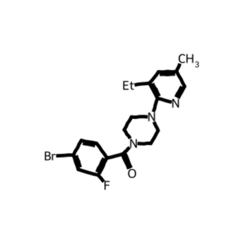 CCc1cc(C)cnc1N1CCN(C(=O)c2ccc(Br)cc2F)CC1